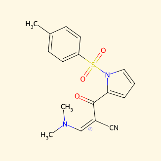 Cc1ccc(S(=O)(=O)n2cccc2C(=O)/C(C#N)=C\N(C)C)cc1